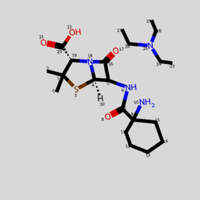 CC1(C)S[C@@H]2C(NC(=O)C3(N)CCCCC3)C(=O)N2[C@H]1C(=O)O.CCN(CC)CC